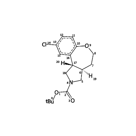 CC(C)(C)OC(=O)N1C[C@@H]2CCOc3ccc(Cl)cc3[C@H]2C1